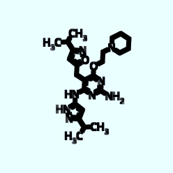 CC(C)c1cc(Nc2nc(N)nc(OCCN3CCCCC3)c2Cc2cc(C(C)C)no2)[nH]n1